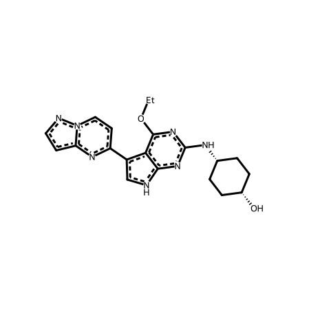 CCOc1nc(N[C@H]2CC[C@@H](O)CC2)nc2[nH]cc(-c3ccn4nccc4n3)c12